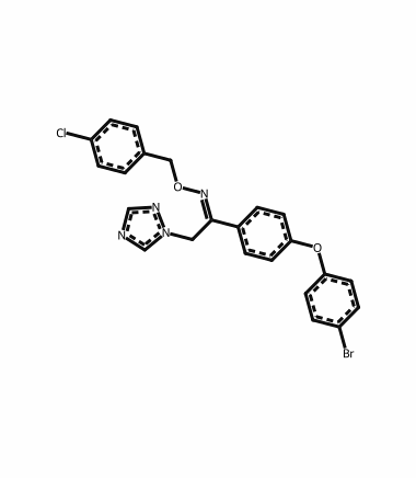 Clc1ccc(CON=C(Cn2cncn2)c2ccc(Oc3ccc(Br)cc3)cc2)cc1